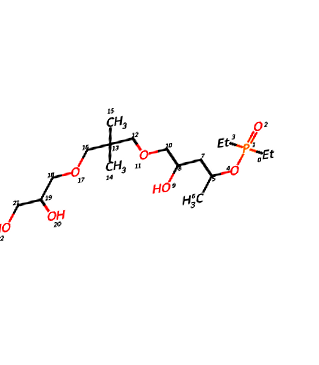 CCP(=O)(CC)OC(C)CC(O)COCC(C)(C)COCC(O)CO